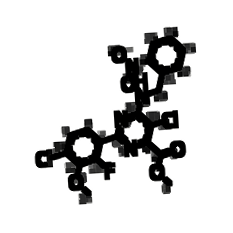 COC(=O)c1nc(-c2ccc(Cl)c(OC)c2F)nc(NCc2ccccc2[N+](=O)[O-])c1Cl